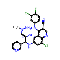 CN(N)/C=C(\N)C(Nc1cc(Cl)c2ncc(C#N)c(Nc3ccc(F)c(Cl)c3)c2c1)c1cccnc1